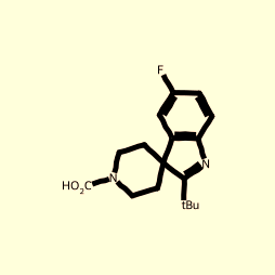 CC(C)(C)C1=Nc2ccc(F)cc2C12CCN(C(=O)O)CC2